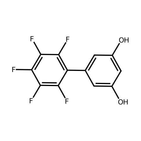 Oc1cc(O)cc(-c2c(F)c(F)c(F)c(F)c2F)c1